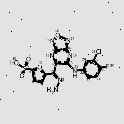 NN=C(c1ccc(S(=O)(=O)O)o1)c1nc2nonc2nc1Nc1ccc(F)c(Cl)c1